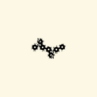 c1ccc(-c2ccc(-n3c4ccc(-c5ccc6c(c5)c5ccncc5n6-c5ccccc5)cc4c4ccncc43)cc2)cc1